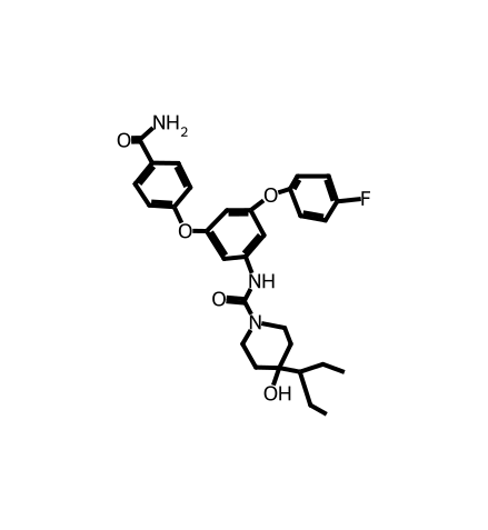 CCC(CC)C1(O)CCN(C(=O)Nc2cc(Oc3ccc(F)cc3)cc(Oc3ccc(C(N)=O)cc3)c2)CC1